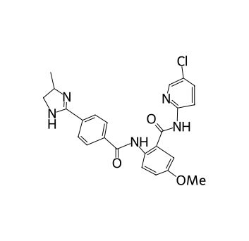 COc1ccc(NC(=O)c2ccc(C3=NC(C)CN3)cc2)c(C(=O)Nc2ccc(Cl)cn2)c1